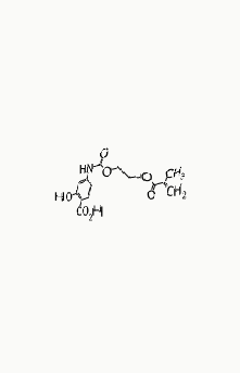 C=C(C)C(=O)OCCOC(=O)Nc1ccc(C(=O)O)c(O)c1